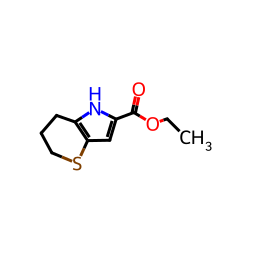 CCOC(=O)c1cc2c([nH]1)CCCS2